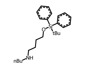 CCCCNCCCCO[Si](c1ccccc1)(c1ccccc1)C(C)(C)C